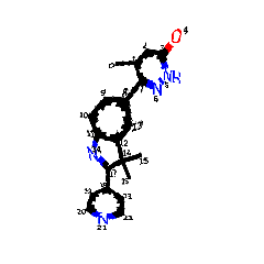 Cc1cc(=O)[nH]nc1-c1ccc2c(c1)C(C)(C)C(c1ccncc1)=N2